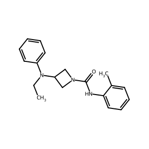 CCN(c1ccccc1)C1CN(C(=O)Nc2ccccc2C)C1